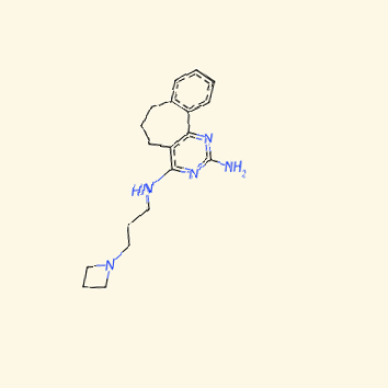 Nc1nc(NCCCN2CCC2)c2c(n1)-c1ccccc1CCC2